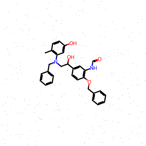 Cc1ccc(O)cc1N(Cc1ccccc1)CC(O)c1ccc(OCc2ccccc2)c(NC=O)c1